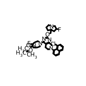 CC(C)(C)OC(=O)N1C2CC(F)C1CN(c1nc(OCC34CCCN3CC(F)C4)nc3c1CCN(c1cccc4cccc(Cl)c14)C3)C2